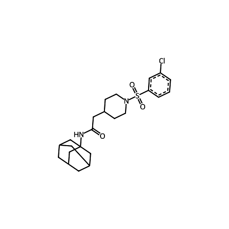 O=C(CC1CCN(S(=O)(=O)c2cccc(Cl)c2)CC1)NC12CC3CC(CC(C3)C1)C2